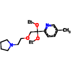 CCOC(COCCN1CCCC1)(OCC)c1ccc(C)cn1